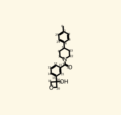 Cc1ccc(C2CCN(C(=O)c3cccc(C4(O)COC4)c3)CC2)cc1